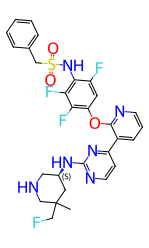 CC1(CF)CNC[C@@H](Nc2nccc(-c3cccnc3Oc3cc(F)c(NS(=O)(=O)Cc4ccccc4)c(F)c3F)n2)C1